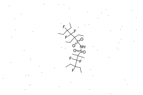 CCC(F)(CC)C(F)(F)C(C)(C)S(=O)(=O)NS(=O)(=O)C(CC)(CC)C(F)(F)C(F)(CC)CC